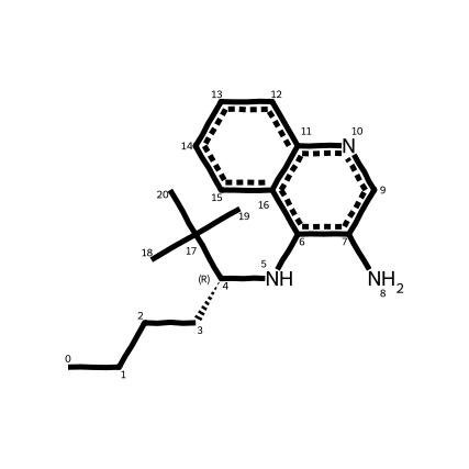 CCCC[C@@H](Nc1c(N)cnc2ccccc12)C(C)(C)C